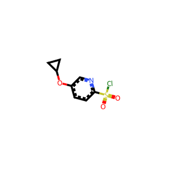 O=S(=O)(Cl)c1ccc(OC2CC2)cn1